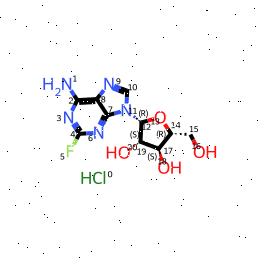 Cl.Nc1nc(F)nc2c1ncn2[C@@H]1O[C@H](CO)[C@@H](O)[C@@H]1O